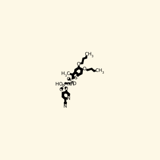 CCCCOc1cc2sc(S(=O)(=O)NCP(=O)(O)Oc3ccc(C#N)nc3)c(C)c2cc1OCCCC